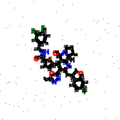 Cc1nnc(-c2c(CC3COc4cc(F)ccc43)nc3c(c2-c2ccc(C(=O)NCc4ccc(F)c(F)c4)s2)C(=O)N2CCC[C@@H]32)o1